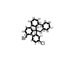 Clc1cccc(C2(c3cccc(Br)c3)Cc3ccccc3-c3ccccc32)c1